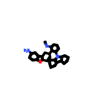 C=Nc1cccc(-n2c3ccccc3c3ccccc32)c1C1C=Cc2oc3ccc(N)cc3c2C1